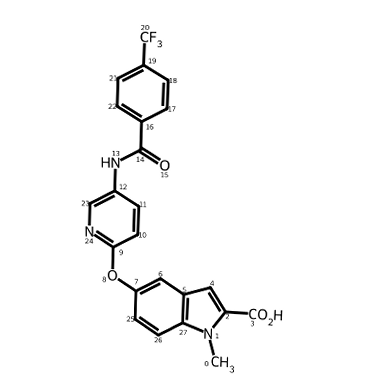 Cn1c(C(=O)O)cc2cc(Oc3ccc(NC(=O)c4ccc(C(F)(F)F)cc4)cn3)ccc21